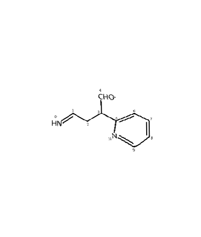 N=[C]CC([C]=O)c1ccccn1